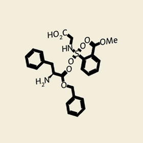 COC(=O)c1ccccc1S(=O)(=O)NCC(=O)O.N[C@@H](Cc1ccccc1)C(=O)OCc1ccccc1